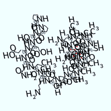 CC(C)C[C@H](NC(=O)[C@H](CC(C)C)NC(=O)[C@H](CS)NC(=O)[C@@H](NC(=O)[C@@H](NC(=O)[C@H](CO)NC(=O)[C@H](C)NC(=O)[C@@H](NC(=O)CNC(=O)[C@H](CO)NC(=O)[C@H](CCCCN)NC(=O)[C@H](CC(C)C)NC(=O)[C@H](CCC(N)=O)NC(=O)[C@H](CCC(=O)O)NC(=O)[C@H](CC(=O)O)NC(=O)[C@H](CO)NC(=O)[C@@H]1CCCN1C(=O)[C@@H]1CCCN1)[C@@H](C)O)C(C)C)C(C)C)C(=O)N[C@@H](CC(N)=O)C(=O)N[C@@H](CC(N)=O)C(=O)O